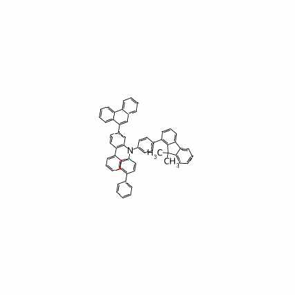 CC1(C)c2ccccc2-c2cccc(-c3ccc(N(c4ccc(-c5ccccc5)cc4)c4cc(-c5cc6ccccc6c6ccccc56)ccc4-c4ccccc4)cc3)c21